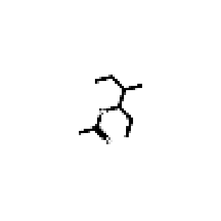 CCC(C)C(CC)OC(C)=O